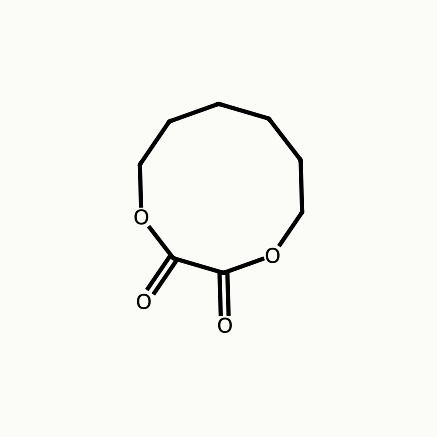 O=C1OCCCCCCOC1=O